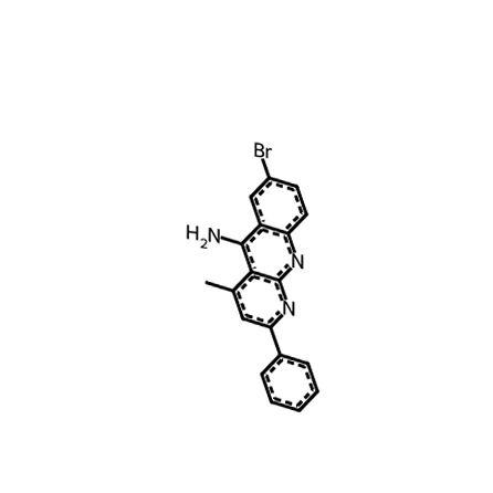 Cc1cc(-c2ccccc2)nc2nc3ccc(Br)cc3c(N)c12